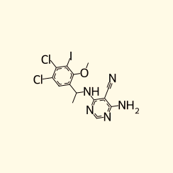 COc1c(C(C)Nc2ncnc(N)c2C#N)cc(Cl)c(Cl)c1I